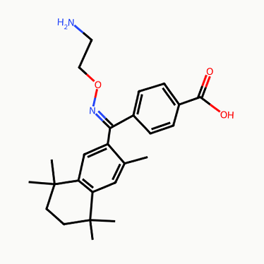 Cc1cc2c(cc1/C(=N/OCCN)c1ccc(C(=O)O)cc1)C(C)(C)CCC2(C)C